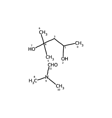 CC(O)CC(C)(C)O.CN(C)C=O